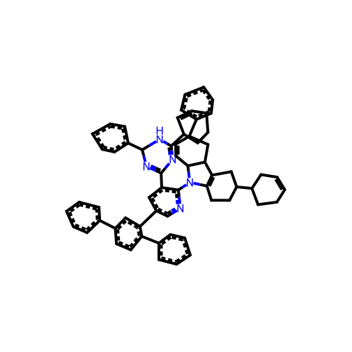 C1=CC(C2=NC(c3cc(-c4cc(-c5ccccc5)ccc4-c4ccccc4)cnc3N3C4=C(CC(C5CC=CCC5)CC4)C4CC(c5ccccc5)C=CC43)=NC(c3ccccc3)N2)CCC1